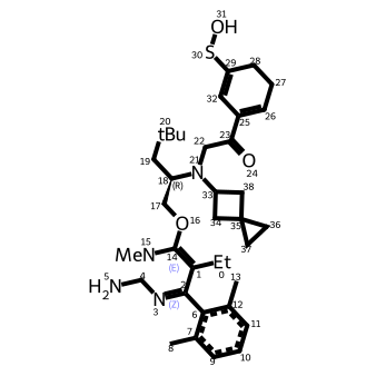 CCC(/C(=N\CN)c1c(C)cccc1C)=C(/NC)OC[C@@H](CC(C)(C)C)N(CC(=O)C1=CCCC(SO)=C1)C1CC2(CC2)C1